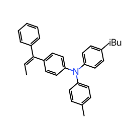 CC=C(c1ccccc1)c1ccc(N(c2ccc(C)cc2)c2ccc(C(C)CC)cc2)cc1